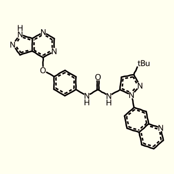 CC(C)(C)c1cc(NC(=O)Nc2ccc(Oc3ncnc4[nH]ncc34)cc2)n(-c2ccc3cccnc3c2)n1